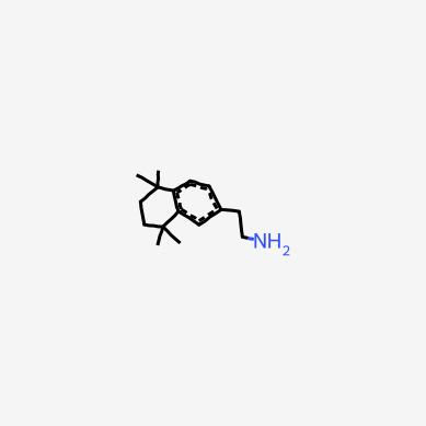 CC1(C)CCC(C)(C)c2cc(CCN)ccc21